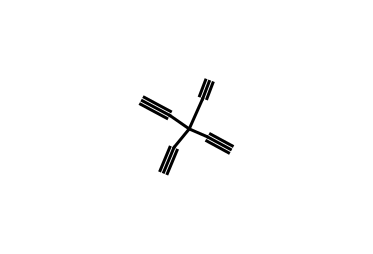 C#CC(C#C)(C#C)C#C